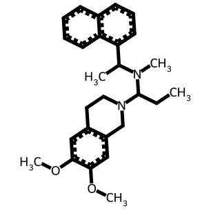 CCC(N1CCc2cc(OC)c(OC)cc2C1)N(C)C(C)c1cccc2ccccc12